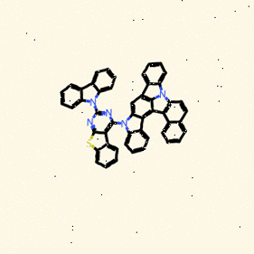 c1ccc2c(c1)ccc1c2c2c3c4ccccc4n(-c4nc(-n5c6ccccc6c6ccccc65)nc5sc6ccccc6c45)c3cc3c4ccccc4n1c32